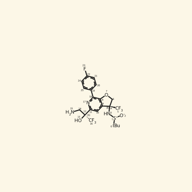 CC(C)(C)[S+]([O-])N[C@@]1(C(F)(F)F)COc2c1cc([C@@](O)(CN)C(F)(F)F)nc2-c1ccc(F)cc1